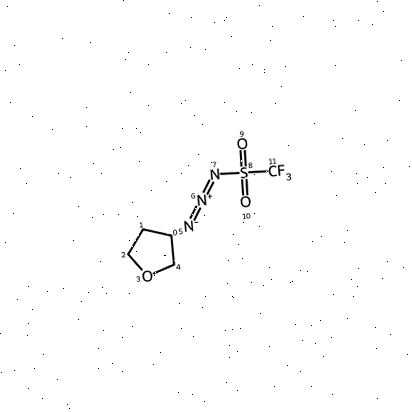 C1CCOC1.[N-]=[N+]=NS(=O)(=O)C(F)(F)F